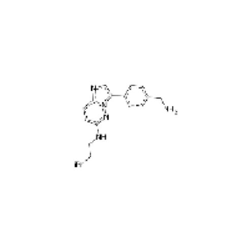 CC(C)CCNc1ccc2ncc(-c3ccc(CN)cc3)n2n1